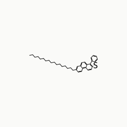 CCCCCCCCCCCCCCCCCc1ccc2c(ccc3c2ccc2sc4ccccc4c23)c1